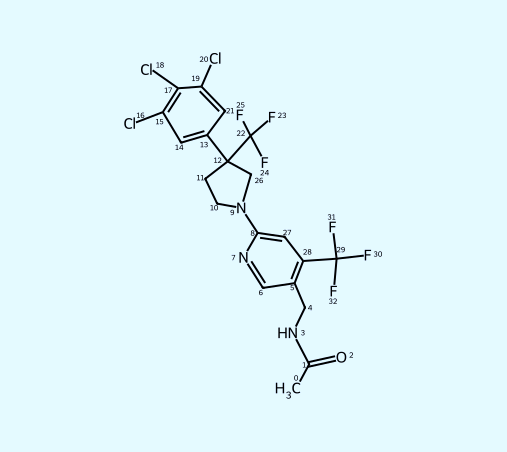 CC(=O)NCc1cnc(N2CCC(c3cc(Cl)c(Cl)c(Cl)c3)(C(F)(F)F)C2)cc1C(F)(F)F